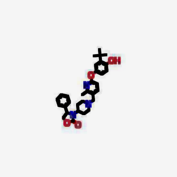 Cc1nc(Oc2ccc(O)c(C(C)(C)C)c2)ccc1CN1CCC(N2C(=O)OCC2c2ccccc2)CC1